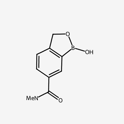 CNC(=O)c1ccc2c(c1)B(O)OC2